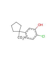 O=C(O)C1(c2ccc(Cl)c(O)c2)CCCC1